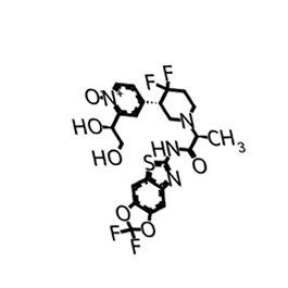 C[C@@H](C(=O)Nc1nc2cc3c(cc2s1)OC(F)(F)O3)N1CCC(F)(F)[C@@H](c2cc[n+]([O-])c([C@H](O)CO)c2)C1